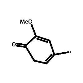 [CH]C1=CCC(=O)C(OC)=C1